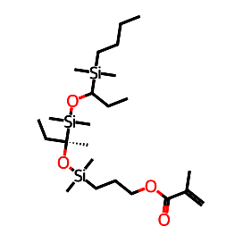 C=C(C)C(=O)OCCC[Si](C)(C)O[C@@](C)(CC)[Si](C)(C)OC(CC)[Si](C)(C)CCCC